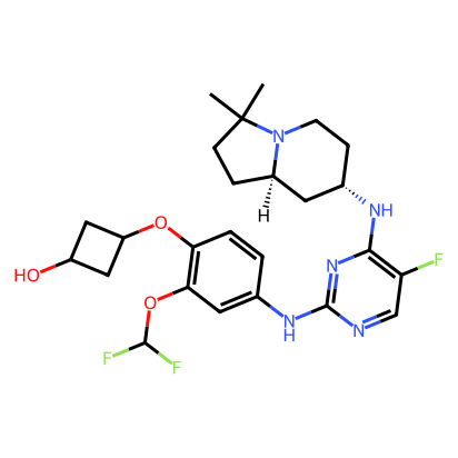 CC1(C)CC[C@@H]2C[C@@H](Nc3nc(Nc4ccc(OC5CC(O)C5)c(OC(F)F)c4)ncc3F)CCN21